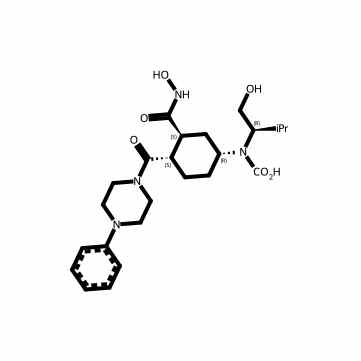 CC(C)[C@H](CO)N(C(=O)O)[C@@H]1CC[C@H](C(=O)N2CCN(c3ccccc3)CC2)[C@@H](C(=O)NO)C1